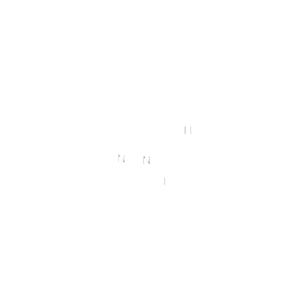 Sc1ccnn1S